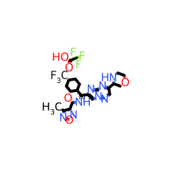 Cc1nonc1C(=O)N[C@H](c1cn2ncc(C3COCCN3)nc2n1)C1CCC(C(F)(F)F)CC1.O=C(O)C(F)(F)F